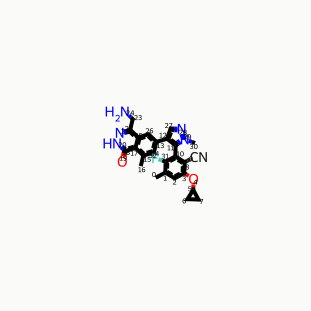 Cc1cc(OC2CC2)c(C#N)c(-c2c(-c3cc(C)c4c(=O)[nH]nc(CN)c4c3)cnn2C)c1F